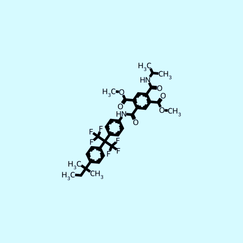 CCC(C)(C)c1ccc(C(c2ccc(NC(=O)c3cc(C(=O)OC)c(C(=O)NC(C)C)cc3C(=O)OC)cc2)(C(F)(F)F)C(F)(F)F)cc1